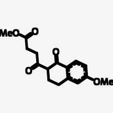 COC(=O)CCC(=O)C1CCc2cc(OC)ccc2C1=O